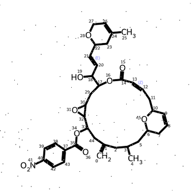 C=C1CC(C)CC2CC=CC(C/C=C\C(=O)OC(C(O)/C=C/C3CC(C)=CCO3)CC3OC3C(OC(=O)c3ccc([N+](=O)[O-])cc3)C1)O2